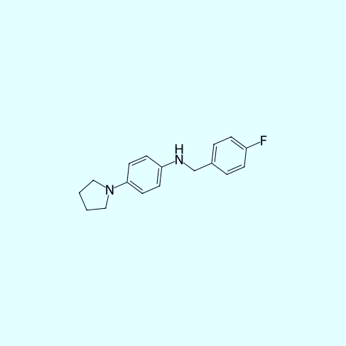 Fc1ccc(CNc2ccc(N3CCCC3)cc2)cc1